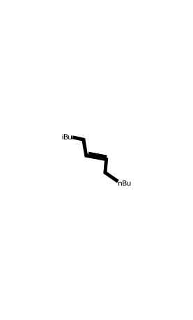 [CH2]CC(C)CC=CCCCCC